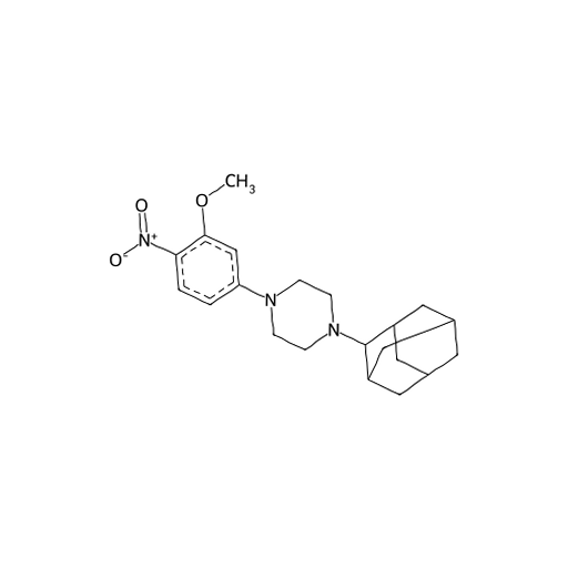 COc1cc(N2CCN(C3C4CC5CC(C4)CC3C5)CC2)ccc1[N+](=O)[O-]